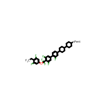 CCCCCC1CCC(C2CCC(c3ccc(-c4cc(F)c(C(F)(F)Oc5cc(F)c(CC(F)(F)F)c(F)c5)c(F)c4)c(F)c3)CC2)CC1